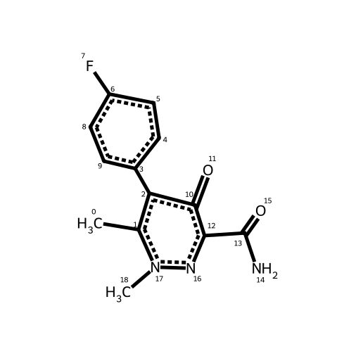 Cc1c(-c2ccc(F)cc2)c(=O)c(C(N)=O)nn1C